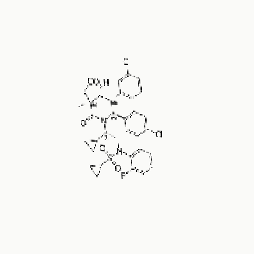 C[C@]1(CC(=O)O)C[C@H](c2cccc(Cl)c2)[C@@H](c2ccc(Cl)cc2)N([C@H](CN(c2ccccc2F)S(=O)(=O)C2CC2)C2CC2)C1=O